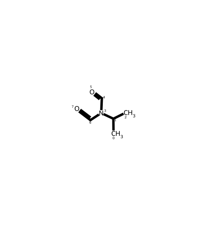 CC(C)N(C=O)C=O